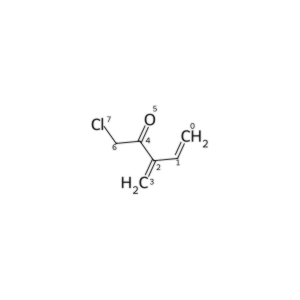 C=CC(=C)C(=O)CCl